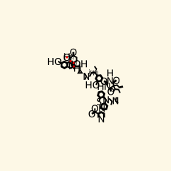 C=CCC1(C(C)CC)C(=O)NC(=O)NC1=O.CC(CN1c2ccccc2Sc2ccccc21)N(C)C.CC[C@@H](c1cccc(O)c1)[C@@H](C)CN(C)C.O=C(O)c1cccnc1.O=C1CC[C@@]2(O)[C@H]3Cc4ccc(O)c5c4[C@@]2(CCN3CC2CC2)[C@H]1O5